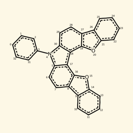 c1ccc(-n2c3ccc4c5ccccc5oc4c3c3c4oc5ccccc5c4ccc32)cc1